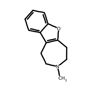 CN1CCc2oc3ccccc3c2CC1